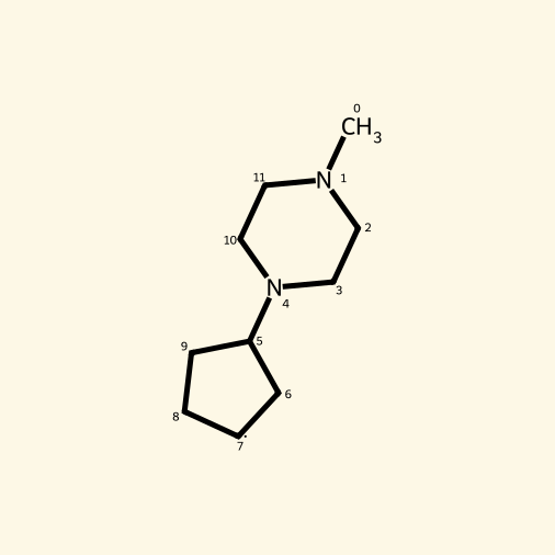 CN1CCN(C2C[CH]CC2)CC1